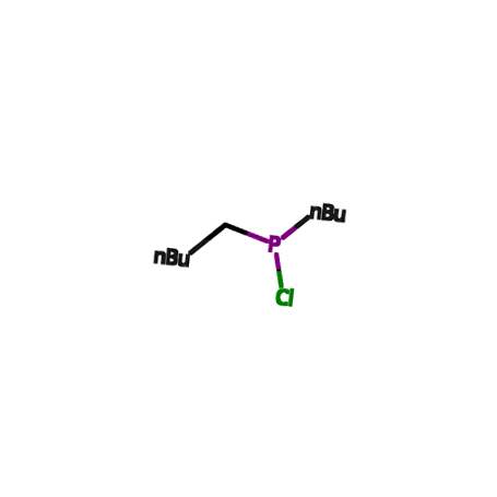 CCCCCP(Cl)CCCC